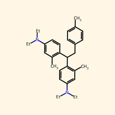 CCN(CC)c1ccc(C(Cc2ccc(C)cc2)c2ccc(N(CC)CC)cc2C)c(C)c1